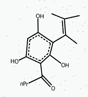 CCCC(=O)c1c(O)cc(O)c(C(C)=C(C)C)c1O